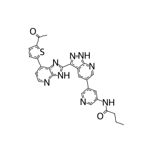 CCCC(=O)Nc1cncc(-c2cnc3[nH]nc(-c4nc5c(-c6ccc(C(C)=O)s6)ccnc5[nH]4)c3c2)c1